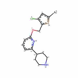 CC(=O)c1cc(Cl)c(COc2cccc(C3CCNCC3)n2)s1